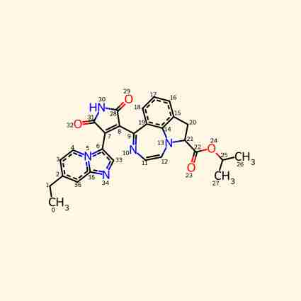 CCc1ccn2c(C3=C(C4=NC=CN5c6c(cccc64)CC5C(=O)OC(C)C)C(=O)NC3=O)cnc2c1